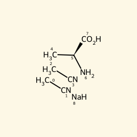 CC#N.CC#N.C[C@H](N)C(=O)O.[NaH]